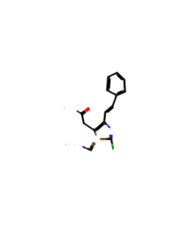 COC=S1C(Cl)=NC(C=Cc2ccccc2)=C1CC(=O)OC